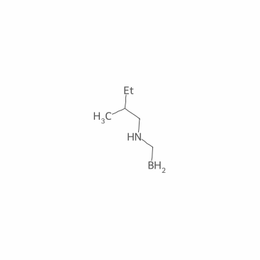 BCNCC(C)CC